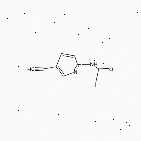 C#Cc1ccc(NC(=O)I)nc1